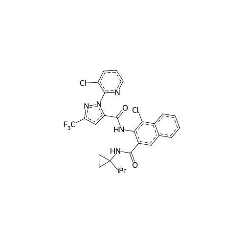 CC(C)C1(NC(=O)c2cc3ccccc3c(Cl)c2NC(=O)c2cc(C(F)(F)F)nn2-c2ncccc2Cl)CC1